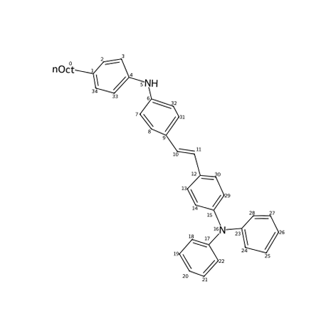 CCCCCCCCc1ccc(Nc2ccc(/C=C/c3ccc(N(c4ccccc4)c4ccccc4)cc3)cc2)cc1